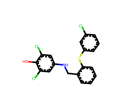 Oc1c(Cl)cc(NCc2ccccc2Sc2cccc(Cl)c2)cc1Cl